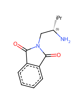 CC(C)[C@H](N)CN1C(=O)c2ccccc2C1=O